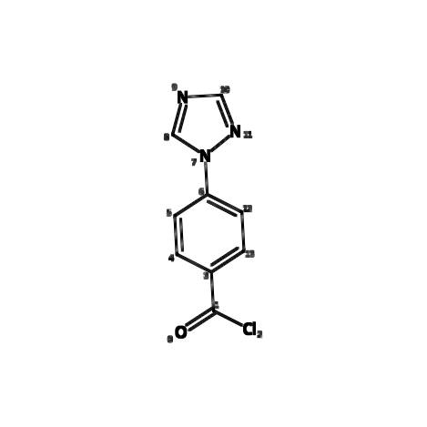 O=C(Cl)c1ccc(-n2cncn2)cc1